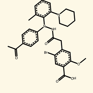 COc1cc(CC(=O)NN(c2ccc(C(C)=O)cc2)c2c(C)cccc2N2CCCCC2)c(Br)cc1C(=O)O